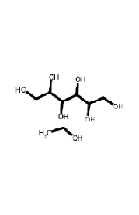 CCO.OCC(O)C(O)C(O)C(O)CO